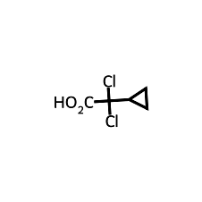 O=C(O)C(Cl)(Cl)C1CC1